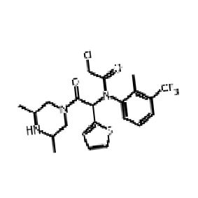 Cc1c(N(C(=O)CCl)C(C(=O)N2CC(C)NC(C)C2)c2cccs2)cccc1C(F)(F)F